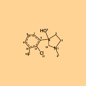 CN1CCC(O)(c2cccc(F)c2Cl)C1